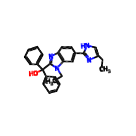 CCc1c[nH]c(-c2ccc3nc(C(O)(c4ccccc4)c4ccccc4)n(CC)c3c2)n1